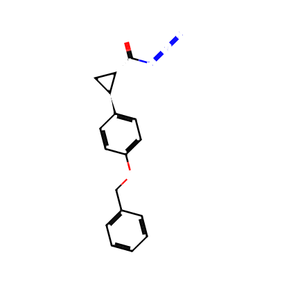 [N-]=[N+]=NC(=O)[C@H]1C[C@@H]1c1ccc(OCc2ccccc2)cc1